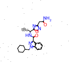 CC(C)(C)C(NC(=O)c1nn(CC2CCCCC2)c2ccccc12)c1nc(CC(N)=O)no1